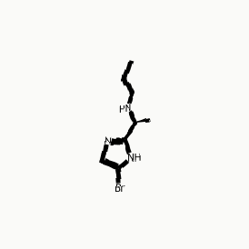 CCCN[C@@H](C)c1ncc(Br)[nH]1